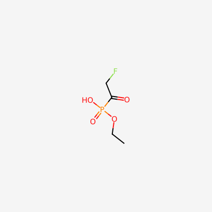 CCOP(=O)(O)C(=O)CF